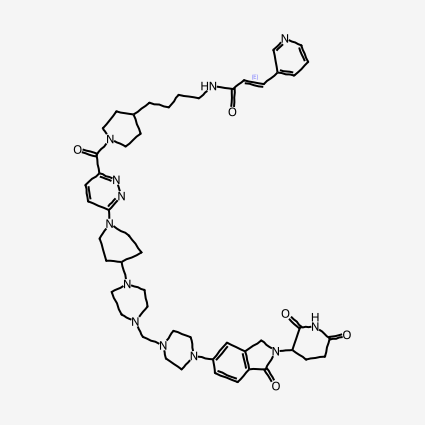 O=C(/C=C/c1cccnc1)NCCCCC1CCN(C(=O)c2ccc(N3CCC(N4CCN(CN5CCN(c6ccc7c(c6)CN(C6CCC(=O)NC6=O)C7=O)CC5)CC4)CC3)nn2)CC1